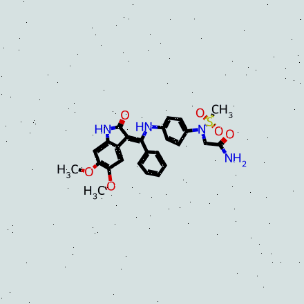 COc1cc2c(cc1OC)/C(=C(/Nc1ccc(N(CC(N)=O)S(C)(=O)=O)cc1)c1ccccc1)C(=O)N2